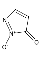 O=C1C=CN=[N+]1[O-]